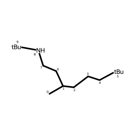 CC(CCCC(C)(C)C)CCNC(C)(C)C